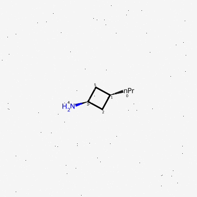 CCC[C@H]1C[C@@H](N)C1